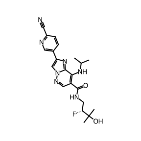 CC(C)Nc1c(C(=O)NC[C@@H](F)C(C)(C)O)cnn2cc(-c3ccc(C#N)nc3)nc12